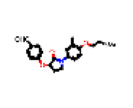 CSCCOc1ccc(N2CCC(Oc3ccc(C=O)cc3)C2=O)cc1C